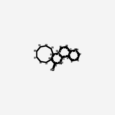 O=c1nc2c3cccnc3ccn2c2c1CCCCCCC2